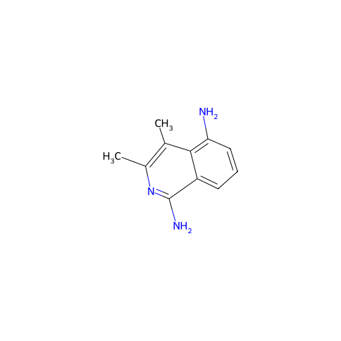 Cc1nc(N)c2cccc(N)c2c1C